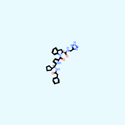 O=C(Cc1ccccc1)N[C@@H](c1ccc(C(=O)N2c3ccccc3C[C@H]2C(=O)NCc2nn[nH]n2)[nH]1)C1CCCC1